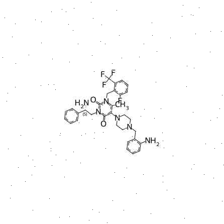 Cc1c(N2CCN(Cc3ccccc3N)CC2)c(=O)n(C[C@@H](N)c2ccccc2)c(=O)n1Cc1c(F)cccc1C(F)(F)F